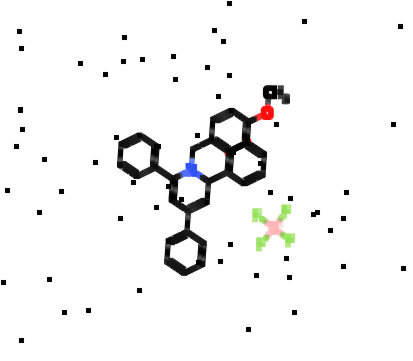 COc1ccc(CN2C(c3ccccc3)=CC(c3ccccc3)=CC2c2ccccc2)cc1.F[B-](F)(F)F